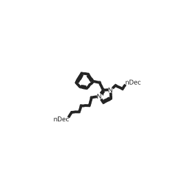 CCCCCCCCCCCCCCC[n+]1ccn(CCCCCCCCCCCC)c1Cc1ccccc1